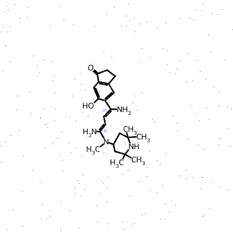 CN(/C(N)=C/C=C(\N)c1cc2c(cc1O)C(=O)CC2)C1CC(C)(C)NC(C)(C)C1